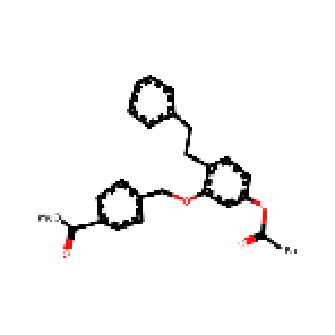 COC(=O)c1ccc(COc2cc(OC(=O)C(C)(C)C)ccc2CCc2ccccc2)cc1